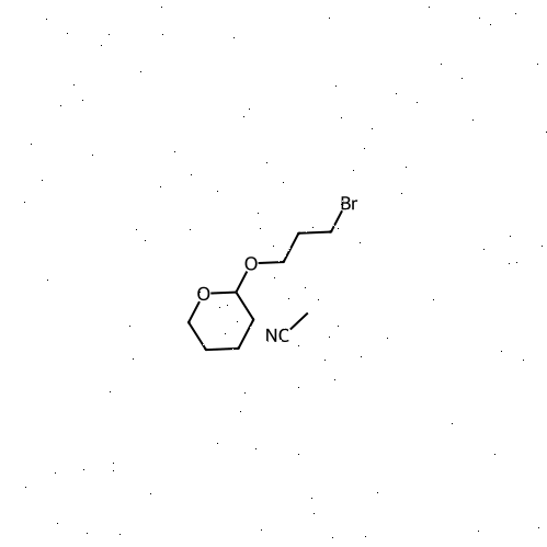 BrCCCOC1CCCCO1.CC#N